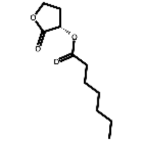 CCCCCCC(=O)O[C@H]1CCOC1=O